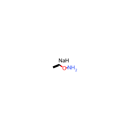 C=CON.[NaH]